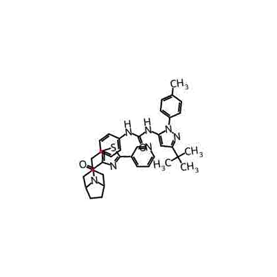 Cc1ccc(-n2nc(C(C)(C)C)cc2NC(=O)Nc2ccc(CC3CC4CCC(C3)N4C(=O)c3csc(-c4cccnc4)n3)cc2)cc1